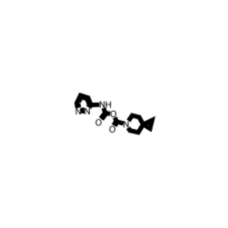 O=C(Nc1cccnn1)OC(=O)N1CCC2(CC1)CC2